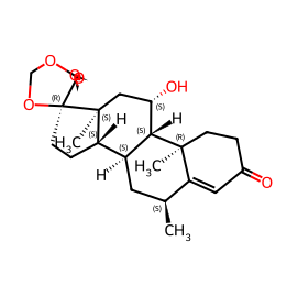 C[C@H]1C[C@@H]2[C@H]([C@@H](O)C[C@@]3(C)[C@H]2CC[C@@]32OCOC23COCO3)[C@@]2(C)CCC(=O)C=C12